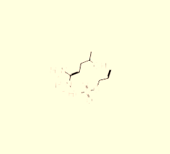 C=CCOS(=O)(=O)O.CC(O)CC=C(N)N